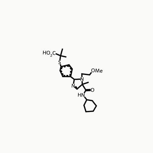 COCCN1C(c2ccc(SC(C)(C)C(=O)O)cc2)N=CC1(C)C(=O)NC1CCCCC1